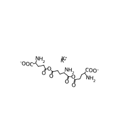 N[C@@H](CCC(=O)OC(=O)CC[C@H](N)C(=O)OC(=O)CC[C@H](N)C(=O)[O-])C(=O)[O-].[K+].[K+]